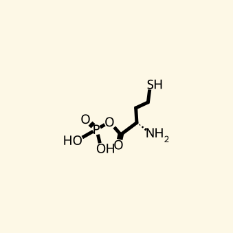 N[C@@H](CCS)C(=O)OP(=O)(O)O